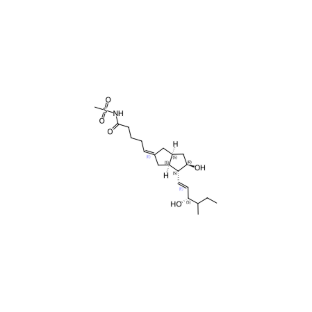 CCC(C)[C@H](O)/C=C/[C@@H]1[C@H]2C/C(=C/CCCC(=O)NS(C)(=O)=O)C[C@H]2C[C@H]1O